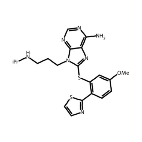 COc1ccc(-c2nccs2)c(Sc2nc3c(N)ncnc3n2CCCNC(C)C)c1